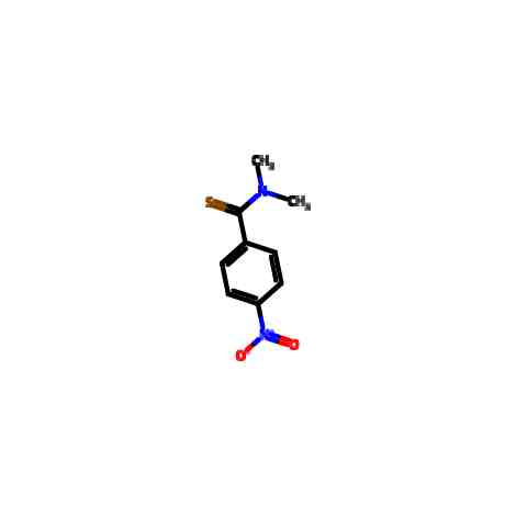 CN(C)C(=S)c1ccc([N+](=O)[O-])cc1